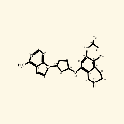 Cc1ncnc2c1ccn2C1CCC(Oc2cc(OC(F)F)c(F)c3c2CNCC3)C1